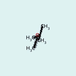 CCCCCCCCCCC(CCC)C(=O)C(CCC)CCCCCCCCCC